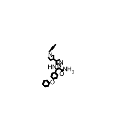 CC#CCN1CCC(c2cnn3c(C(N)=O)c(-c4ccc(Oc5ccccc5)cc4)[nH]c23)C1